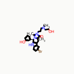 C=C1N(CCCN(C)CCO)C(=O)[C@]2(C)Cc3c([nH]c4ccc(Br)cc34)[C@@H](c3cccc(O)c3)N12